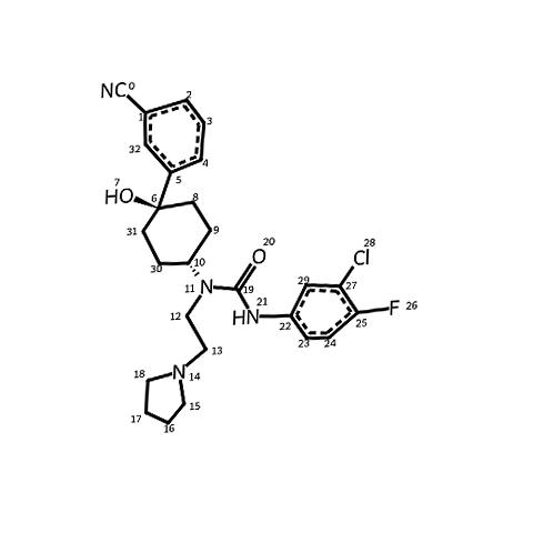 N#Cc1cccc([C@]2(O)CC[C@H](N(CCN3CCCC3)C(=O)Nc3ccc(F)c(Cl)c3)CC2)c1